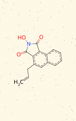 C=CCc1cc2ccccc2c2c1C(=O)N(O)C2=O